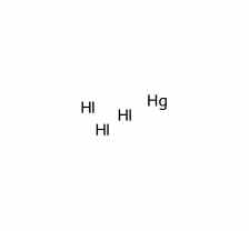 I.I.I.[Hg]